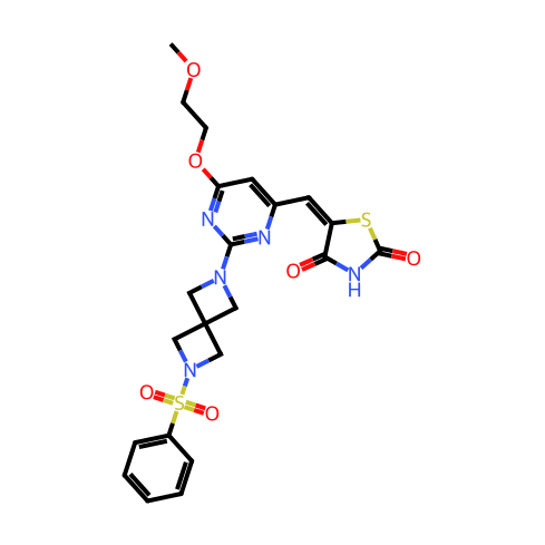 COCCOc1cc(C=C2SC(=O)NC2=O)nc(N2CC3(C2)CN(S(=O)(=O)c2ccccc2)C3)n1